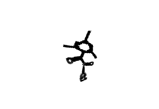 CC[P](=O)C(=O)c1c(C)cc(C)cc1C